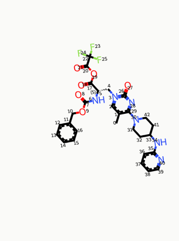 Cc1cn(C[C@H](NC(=O)OCc2ccccc2)C(=O)OC(=O)C(F)(F)F)c(=O)nc1N1CCC(Nc2ccccn2)CC1